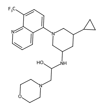 OC(CN1CCOCC1)NC1CC(C2CC2)CN(c2ccc(C(F)(F)F)c3ncccc23)C1